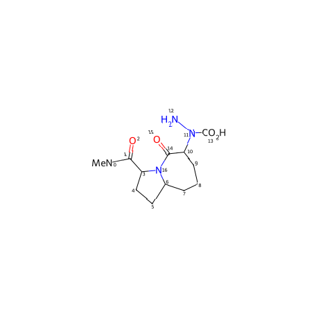 CNC(=O)C1CCC2CCCC(N(N)C(=O)O)C(=O)N21